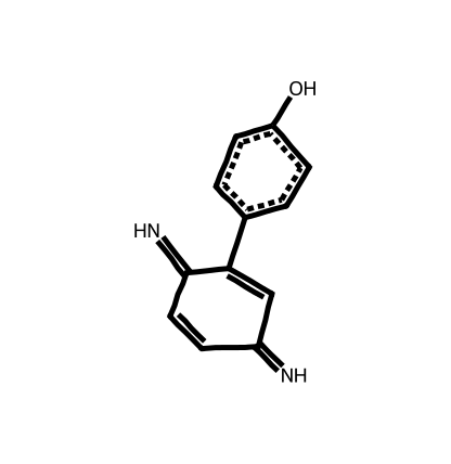 N=C1C=CC(=N)C(c2ccc(O)cc2)=C1